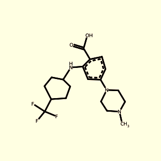 CN1CCN(c2ccc(C(=O)O)c(NC3CCC(C(F)(F)F)CC3)c2)CC1